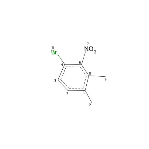 Cc1ccc(Br)c([N+](=O)[O-])c1C